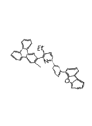 CCc1ccc(-c2cccc(-c3cccc4c3oc3ccccc34)c2)nc1-c1cc2c3ccccc3c3ccccc3c2cc1C